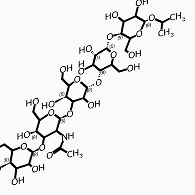 CC(=O)NC1C(O[C@@H]2OC(CO)[C@H](O)C(O)C2O)[C@@H](O)C(CO)O[C@H]1OC1C(O)[C@@H](O[C@H]2C(CO)O[C@@H](O[C@@H]3C(CO)O[C@@H](OC(C)C)C(O)C3O)[C@@H](O)C2O)OC(CO)[C@@H]1O